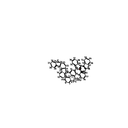 CC(C)(C)c1c(-c2ccccc2F)c(-n2c3ccccc3c3c4c(ccc32)sc2ccccc24)cc(-n2c3ccccc3c3c4c(ccc32)sc2ccccc24)c1-c1ccccc1F